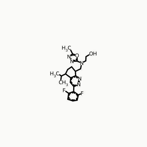 Cc1nnc(N(CCO)CC2CCC(C(C)C)c3cc(-c4c(F)cccc4F)nnc32)o1